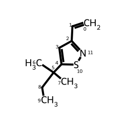 C=Cc1cc(C(C)(C)CC)sn1